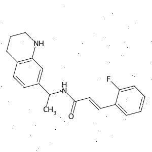 CC(NC(=O)C=Cc1ccccc1F)c1ccc2c(c1)NCCC2